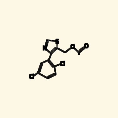 O=[C]OCc1scnc1-c1cc(Cl)ccc1Cl